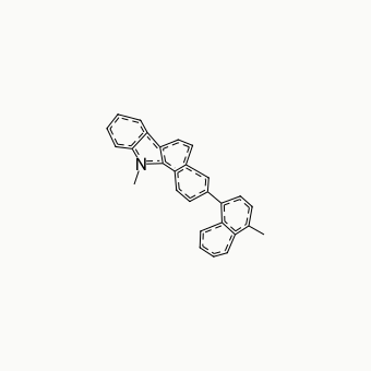 Cc1ccc(-c2ccc3c(ccc4c5ccccc5n(C)c34)c2)c2ccccc12